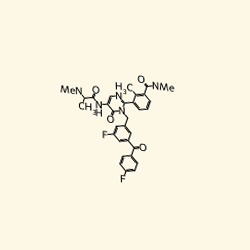 CNC(=O)c1cccc(-c2ncc(NC(=O)C(C)NC)c(=O)n2Cc2cc(F)cc(C(=O)c3ccc(F)cc3)c2)c1C